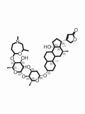 CC1CN(C)CCC(O[C@@H]2[C@H](C)O[C@@H](O[C@@H]3[C@H](C)O[C@@H](O[C@H]4CC[C@@]5(C)C(CCC6C5C[C@H](C)[C@]5(C)[C@@H](C7=CC(=O)OC7)CC[C@]65O)C4)C[C@@H]3O)C[C@@H]2O)O1